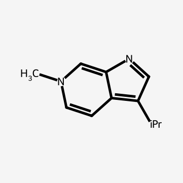 CC(C)c1cnc2cn(C)ccc1-2